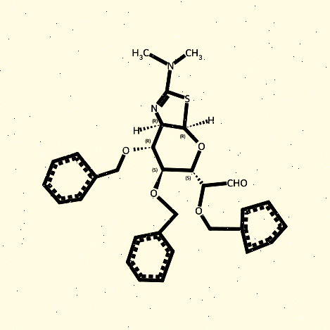 CN(C)C1=N[C@@H]2[C@@H](OCc3ccccc3)[C@H](OCc3ccccc3)[C@@H](C(C=O)OCc3ccccc3)O[C@@H]2S1